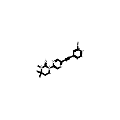 CN1C(=O)N(c2cnc(C#Cc3cccc(F)c3)cn2)CCC1(C)C